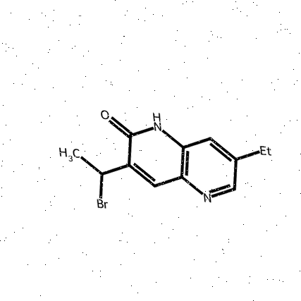 CCc1cnc2cc(C(C)Br)c(=O)[nH]c2c1